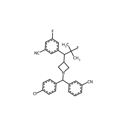 CC(C)(F)C(c1cc(F)cc(C#N)c1)C1CN(C(c2ccc(Cl)cc2)c2cccc(C#N)c2)C1